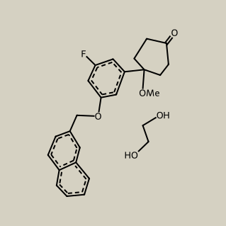 COC1(c2cc(F)cc(OCc3ccc4ccccc4c3)c2)CCC(=O)CC1.OCCO